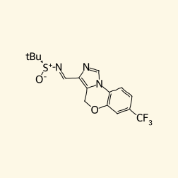 CC(C)(C)[S@+]([O-])/N=C/c1ncn2c1COc1cc(C(F)(F)F)ccc1-2